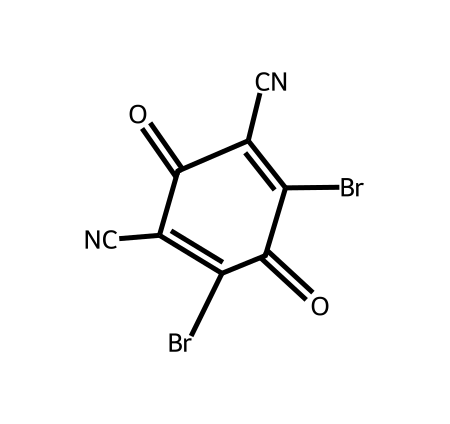 N#CC1=C(Br)C(=O)C(Br)=C(C#N)C1=O